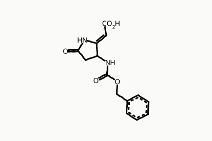 O=C(O)C=C1NC(=O)CC1NC(=O)OCc1ccccc1